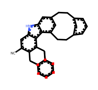 N#Cc1cc2[nH]c3cc4cc(c3c2c2c1C1c3ccccc3C2c2ccccc21)CCc1cccc(c1)CC4